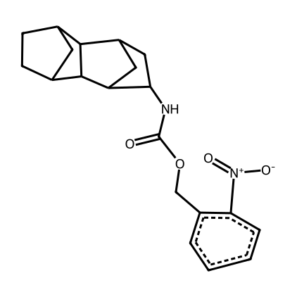 O=C(NC1CC2CC1C1C3CCC(C3)C21)OCc1ccccc1[N+](=O)[O-]